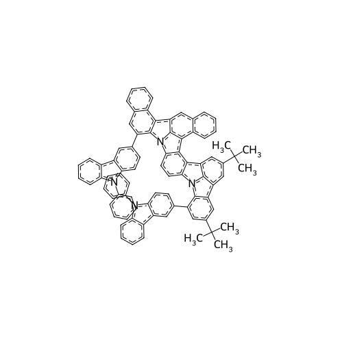 CC(C)(C)c1cc(-c2ccc3c(c2)c2ccccc2n3-c2ccccc2)c2c(c1)c1cc(C(C)(C)C)cc3c4c5c6c7ccccc7cc7c8c9ccccc9cc(-c9ccc%10c(c9)c9ccccc9n%10-c9ccccc9)c8n(c5ccc4n2c13)c76